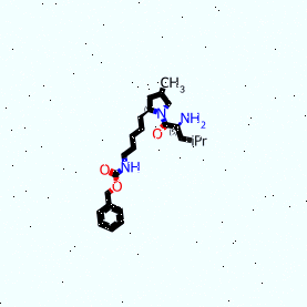 CC(C)C[C@H](N)C(=O)N1CC(C)C[C@@H]1CCCCCNC(=O)OCc1ccccc1